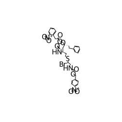 O=C(Cc1ccccc1[N+](=O)[O-])OO[C@H](CCc1ccccc1)[C@H]1C(=O)N[C@@H]1CCSC(Br)CNC(=O)OCc1ccc([N+](=O)[O-])cc1